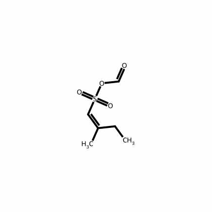 CC/C(C)=C\S(=O)(=O)OC=O